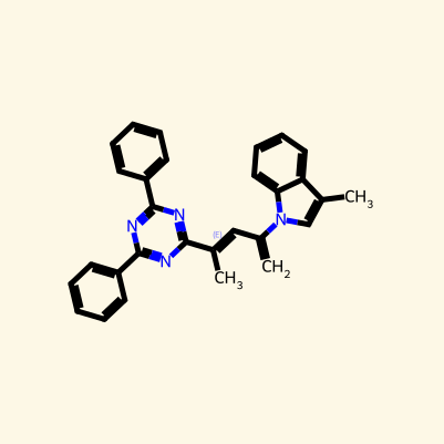 C=C(/C=C(\C)c1nc(-c2ccccc2)nc(-c2ccccc2)n1)n1cc(C)c2ccccc21